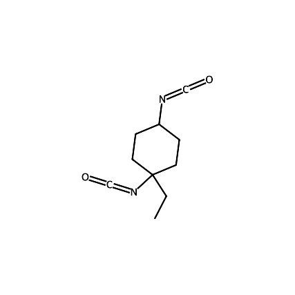 CCC1(N=C=O)CCC(N=C=O)CC1